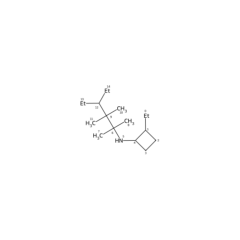 CCC1CCC1NC(C)(C)C(C)(C)C(CC)CC